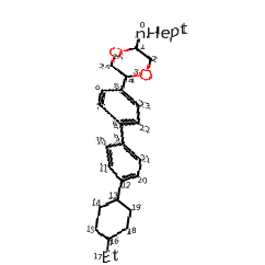 CCCCCCCC1COC(c2ccc(-c3ccc(C4CCC(CC)CC4)cc3)cc2)CO1